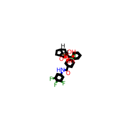 O=C(Nc1cc(F)c(F)c(F)c1)c1ccc(Cl)c(S(=O)(=O)[C@H]2C3CC[C@H]2C[C@](O)(C(O)c2ccccc2)C3)c1